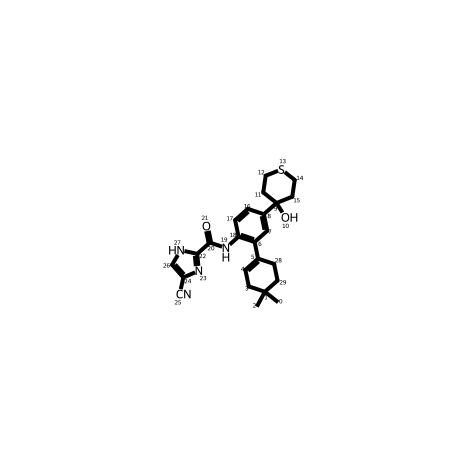 CC1(C)CC=C(c2cc(C3(O)CCSCC3)ccc2NC(=O)c2nc(C#N)c[nH]2)CC1